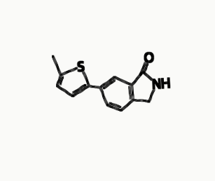 Cc1ccc(-c2ccc3c(c2)C(=O)NC3)s1